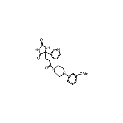 COc1cccc(N2CCN(C(=O)CCC3(c4cccnc4)NC(=O)NC3=O)CC2)c1